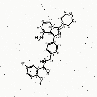 COc1ccc(F)cc1C(=O)NCc1ccc(-c2nc(N3CCOCC3)n3ccnc(N)c23)cc1